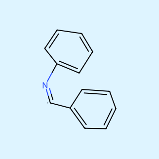 [C](=N/c1ccccc1)/c1ccccc1